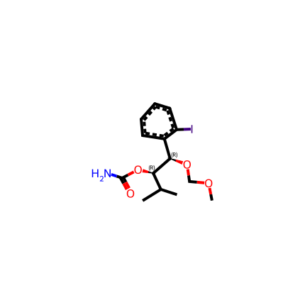 COCO[C@H](c1ccccc1I)[C@H](OC(N)=O)C(C)C